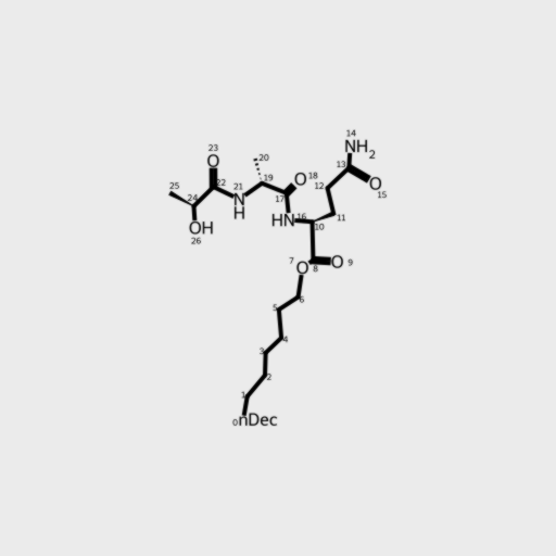 CCCCCCCCCCCCCCCCOC(=O)[C@H](CCC(N)=O)NC(=O)[C@@H](C)NC(=O)[C@H](C)O